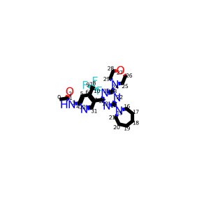 CC(=O)Nc1cc(C(F)(F)F)c(-c2nc(N3CCCCCC3)nc(N3CCOCC3)n2)cn1